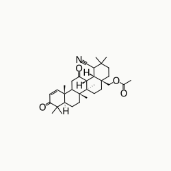 CC(=O)OC[C@]12CCC(C)(C)C(C#N)[C@H]1[C@H]1C(=O)CC3[C@@]4(C)C=CC(=O)C(C)(C)[C@@H]4CC[C@@]3(C)[C@]1(C)CC2